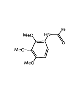 CCC(=O)Nc1ccc(OC)c(OC)c1OC